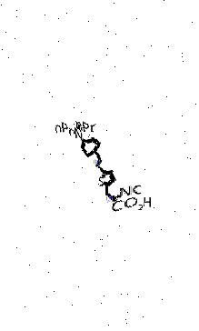 [C-]#[N+]/C(=C\c1ccc(/C=C/c2ccc(N(CCC)CCC)cc2)s1)C(=O)O